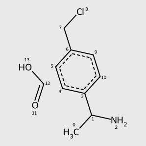 CC(N)c1ccc(CCl)cc1.O=CO